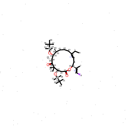 CC/C1=C/C[C@@H](/C(C)=C/I)OC(=O)C[C@H](O[Si](C)(C)C(C)(C)C)C(C)(C)C(=O)[C@H](C)[C@@H](O[Si](C)(C)C(C)(C)C)[C@@H](C)CCC1